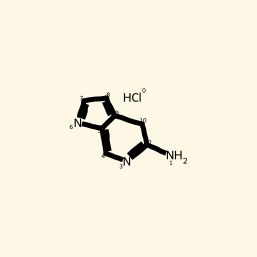 Cl.NC1=NC=C2N=CC=C2C1